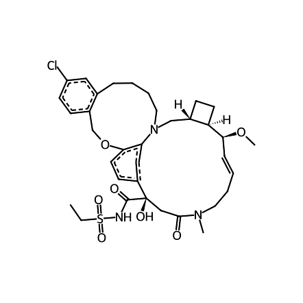 CCS(=O)(=O)NC(=O)[C@@]1(O)CC(=O)N(C)CC/C=C/[C@H](OC)[C@@H]2CC[C@H]2CN2CCCCc3cc(Cl)ccc3COc3ccc1cc32